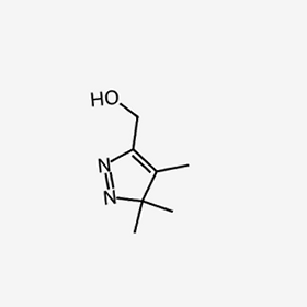 CC1=C(CO)N=NC1(C)C